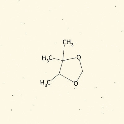 CC1OCOC1(C)C